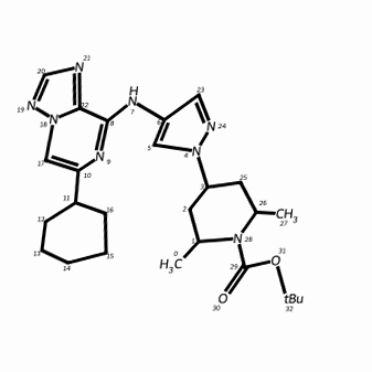 CC1CC(n2cc(Nc3nc(C4CCCCC4)cn4ncnc34)cn2)CC(C)N1C(=O)OC(C)(C)C